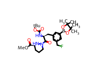 COC(=O)[C@@H]1CCCN(C(=O)[C@H](Cc2cc(CF)cc(B3OC(C)(C)C(C)(C)O3)c2)NC(=O)OC(C)(C)C)N1